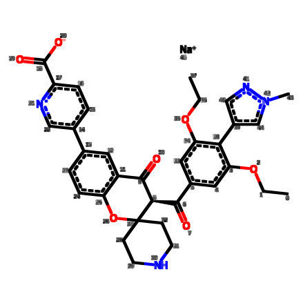 CCOc1cc(C(=O)[C@@H]2C(=O)c3cc(-c4ccc(C(=O)[O-])nc4)ccc3OC23CCNCC3)cc(OCC)c1-c1cnn(C)c1.[Na+]